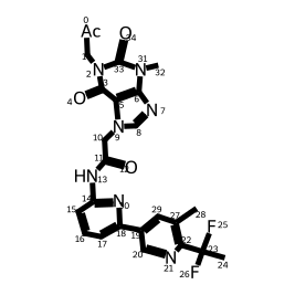 CC(=O)Cn1c(=O)c2c(ncn2CC(=O)Nc2cccc(-c3cnc(C(C)(F)F)c(C)c3)n2)n(C)c1=O